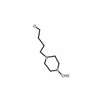 [O]CCCCN1CCN(C=O)CC1